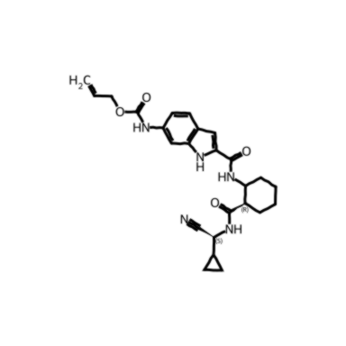 C=CCOC(=O)Nc1ccc2cc(C(=O)NC3CCCC[C@H]3C(=O)N[C@H](C#N)C3CC3)[nH]c2c1